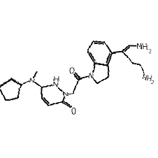 CN(C1CCCC1)C1C=CC(=O)N(CC(=O)N2CCc3c(/C(=C/N)CCN)cccc32)N1